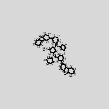 Brc1cc(N(c2ccccc2)c2cccc(-c3ccc4sc5ccccc5c4c3)c2)cc(N(c2ccccc2)c2cccc(-c3ccc4sc5ccccc5c4c3)c2)c1